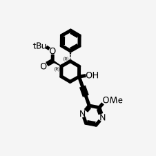 COc1nccnc1C#CC1(O)CC[C@@H](C(=O)OC(C)(C)C)[C@H](c2ccccc2)C1